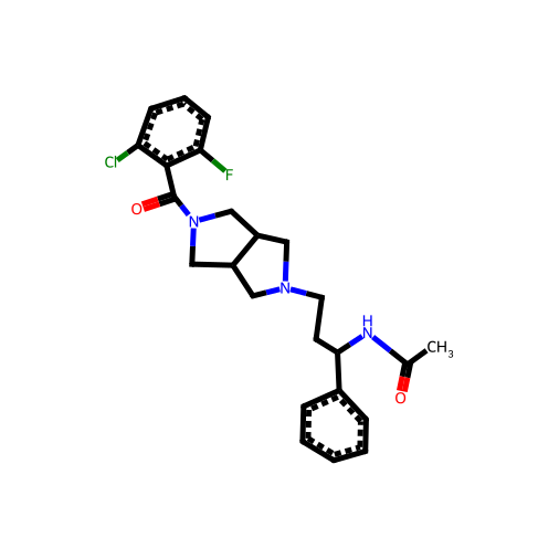 CC(=O)NC(CCN1CC2CN(C(=O)c3c(F)cccc3Cl)CC2C1)c1ccccc1